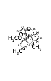 COc1cc(C)cc(OC)c1N1c2ccccc2COc2ccoc21